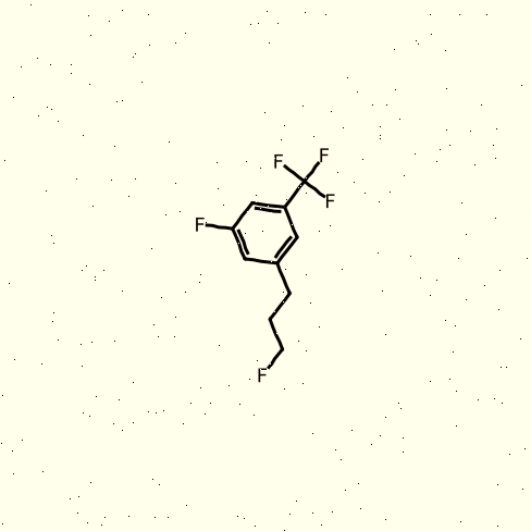 FCCCc1cc(F)cc(C(F)(F)F)c1